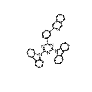 c1cc(-c2cc3ccccc3cn2)cc(-c2nc(-n3c4ccccc4c4ccccc43)nc(-n3c4ccccc4c4ccccc43)n2)c1